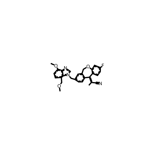 COCc1ccc(OC)c2ncn(Cc3ccc4c(c3)COc3cc(F)ccc3/C4=C(/C)C#N)c12